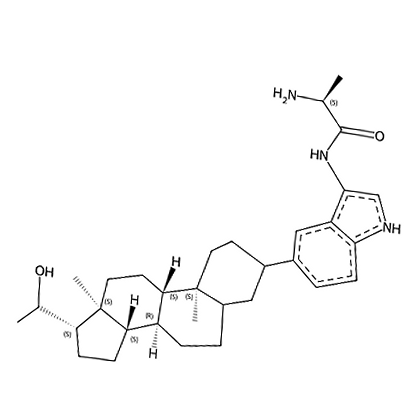 CC(O)[C@H]1CC[C@H]2[C@@H]3CCC4CC(c5ccc6[nH]cc(NC(=O)[C@H](C)N)c6c5)CC[C@]4(C)[C@H]3CC[C@]12C